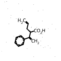 C=CC[C](C(=C)c1ccccc1)C(=O)O